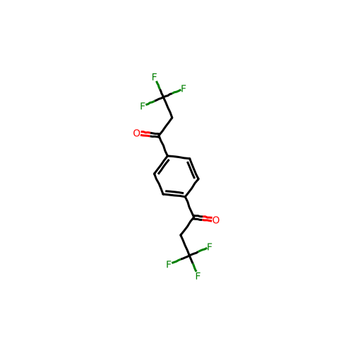 O=C(CC(F)(F)F)c1ccc(C(=O)CC(F)(F)F)cc1